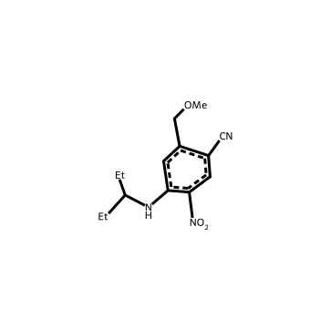 CCC(CC)Nc1cc(COC)c(C#N)cc1[N+](=O)[O-]